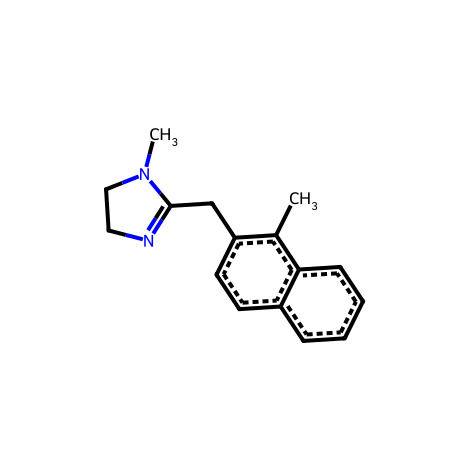 Cc1c(CC2=NCCN2C)ccc2ccccc12